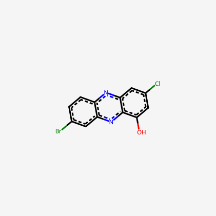 Oc1cc(Cl)cc2nc3ccc(Br)cc3nc12